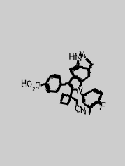 Cc1cc(-n2c(C3(CC#N)CCC3)c(-c3ccc(C(=O)O)cc3)c3cc4[nH]ncc4cc32)ccc1F